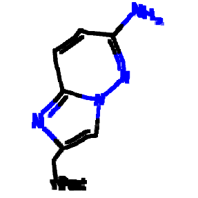 CCCCCc1cn2nc(N)ccc2n1